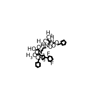 CC(C)[C@H](NC(=O)OCc1ccccc1)C(=O)NCCCN(C(=O)CO)[C@@H](c1cc(-c2cc(F)ccc2F)cn1Cc1ccccc1)C(C)(C)C